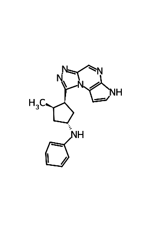 C[C@@H]1C[C@@H](Nc2ccccc2)C[C@@H]1c1nnc2cnc3[nH]ccc3n12